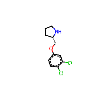 Clc1ccc(OC[C@@H]2CCCN2)cc1Cl